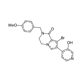 COc1ccc(CN2CCn3cc(-c4ccncc4O)c(Br)c3C2=O)cc1